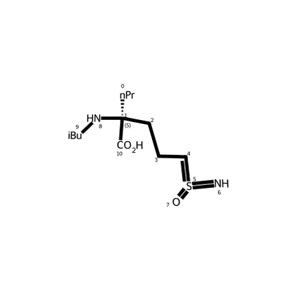 CCC[C@@](CCC=S(=N)=O)(NC(C)CC)C(=O)O